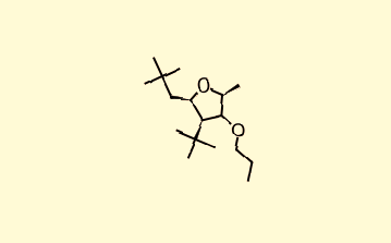 CCCOC1[C@H](C)O[C@H](CC(C)(C)C)[C@@H]1C(C)(C)C